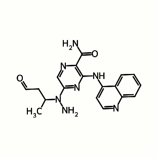 CC(CC=O)N(N)c1cnc(C(N)=O)c(Nc2ccnc3ccccc23)n1